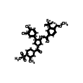 COCc1ccc(C(=O)NC2CN(C(=O)N3CCN(S(C)(=O)=O)C(C)C3)CC2c2ccc(Cl)c(Cl)c2)cc1C(F)(F)F